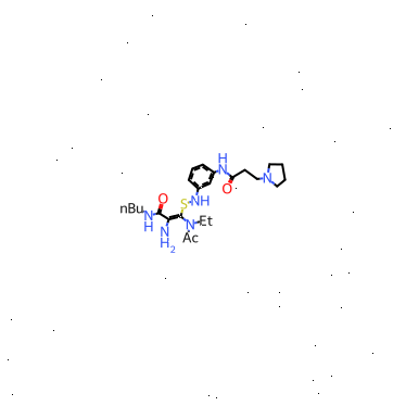 CCCCNC(=O)/C(N)=C(\SNc1cccc(NC(=O)CCN2CCCC2)c1)N(CC)C(C)=O